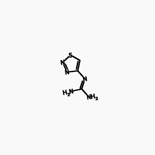 NC(N)=Nc1csnn1